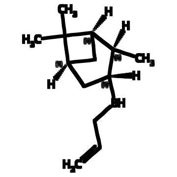 C=CCB[C@@H]1C[C@@H]2C[C@H]([C@H]1C)C2(C)C